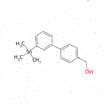 [CH3][Sn]([CH3])([CH3])[c]1cccc(-c2ccc(CO)cc2)c1